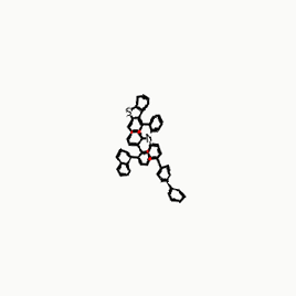 c1ccc(-c2ccc(-c3ccc(N(c4ccccc4-c4ccccc4-c4cccc5ccccc45)c4ccccc4-c4cccc5sc6ccccc6c45)cc3)cc2)cc1